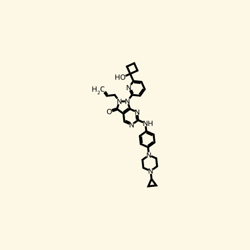 C=CCn1c(=O)c2cnc(Nc3ccc(N4CCN(C5CC5)CC4)cc3)nc2n1-c1cccc(C2(O)CCC2)n1